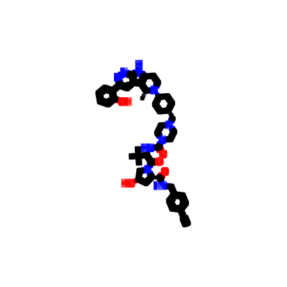 C#Cc1ccc(CNC(=O)[C@@H]2C[C@@H](O)CN2C(=O)[C@@H](NC(=O)N2CCN(C[C@H]3CC[C@@H](N4CCc5[nH]c6nnc(-c7ccccc7O)cc6c5[C@H]4C)CC3)CC2)C(C)(C)C)cc1